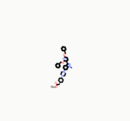 Cn1nc(-c2ccc(OCc3ccccc3)nc2OCc2ccccc2)c2ccc(N3CCN([C@H]4CC[C@H](CC(=O)OC(C)(C)C)CC4)CC3)cc21